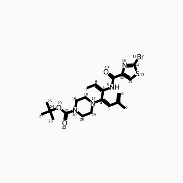 C=C(C)/C=C(\C(=C/C)NC(=O)c1csc(Br)n1)N1CCN(C(=O)OC(C)(C)C)CC1